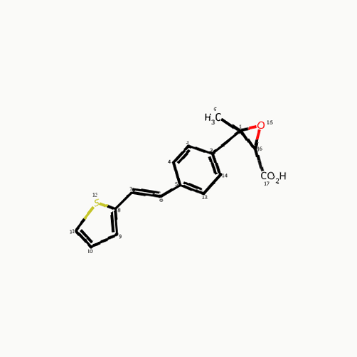 CC1(c2ccc(C=Cc3cccs3)cc2)OC1C(=O)O